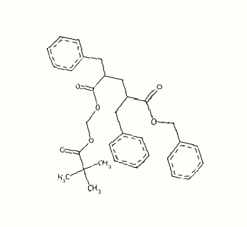 CC(C)(C)C(=O)OCOC(=O)C(Cc1ccccc1)CC(Cc1ccccc1)C(=O)OCc1ccccc1